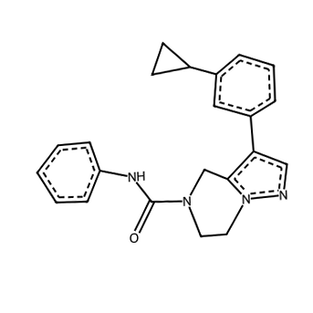 O=C(Nc1ccccc1)N1CCn2ncc(-c3cccc(C4CC4)c3)c2C1